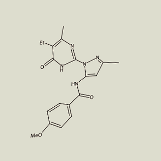 CCc1c(C)nc(-n2nc(C)cc2NC(=O)c2ccc(OC)cc2)[nH]c1=O